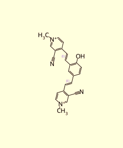 C[n+]1ccc(/C=C/c2ccc(O)c(/C=C/c3cc[n+](C)cc3C#N)c2)c(C#N)c1